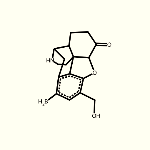 Bc1cc(CO)c2c3c1CC1NCCC34C(O2)C(=O)CCC14